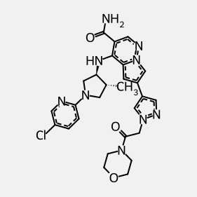 C[C@@H]1CN(c2ccc(Cl)cn2)C[C@H]1Nc1c(C(N)=O)cnn2cc(-c3cnn(CC(=O)N4CCOCC4)c3)cc12